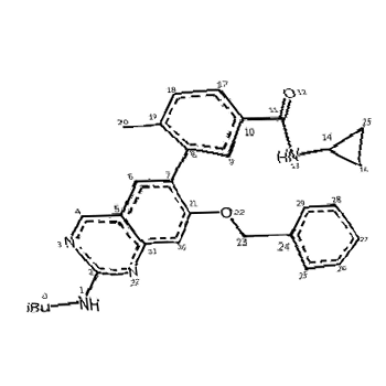 CCC(C)Nc1ncc2cc(-c3cc(C(=O)NC4CC4)ccc3C)c(OCc3ccccc3)cc2n1